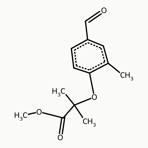 COC(=O)C(C)(C)Oc1ccc(C=O)cc1C